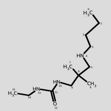 CCCCNCC(C)(C)CNC(=O)NCC